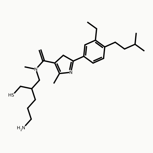 C=C(C1=C(C)N=C(c2ccc(CCC(C)C)c(CC)c2)C1)N(C)CC(CS)CCCN